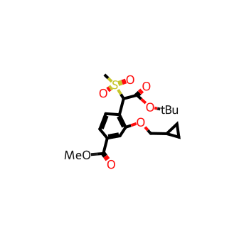 COC(=O)c1ccc(C(C(=O)OC(C)(C)C)S(C)(=O)=O)c(OCC2CC2)c1